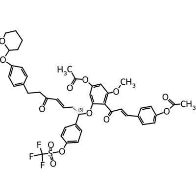 COc1cc(OC(C)=O)cc(O[C@@H](CC=CC(=O)CCc2ccc(OC3CCCCO3)cc2)c2ccc(OS(=O)(=O)C(F)(F)F)cc2)c1C(=O)C=Cc1ccc(OC(C)=O)cc1